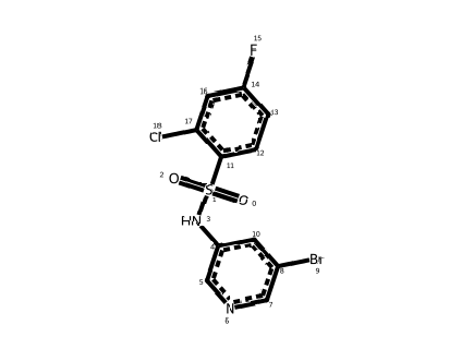 O=S(=O)(Nc1cncc(Br)c1)c1ccc(F)cc1Cl